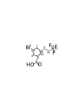 O=C(O)c1cc(Br)cc(CCC(F)(F)F)c1